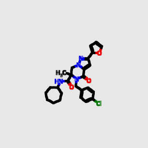 CC1(C(=O)NC2CCCCCC2)Cn2nc(-c3ccco3)cc2C(=O)N1Cc1ccc(Cl)cc1